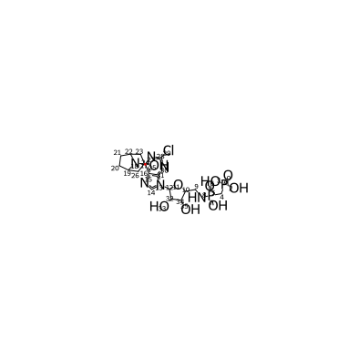 O=P(O)(O)CP(=O)(O)NCC1OC(n2cnc3c(N4C5CCC4CC(O)C5)nc(Cl)nc32)C(O)C1O